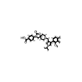 COc1c(-c2cn(C(C)C)nc2CN2CCC3(CC2)CN(c2ccc(C(=O)O)cc2)C(=O)O3)ccc(F)c1F